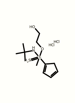 CC(C)(C)[NH][Ti]([CH3])(=[SiH2])([O]CCO)[C]1=CC=CC1.Cl.Cl